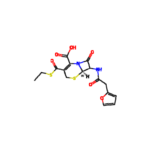 CCSC(=O)C1=C(C(=O)O)N2C(=O)C(NC(=O)Cc3ccco3)[C@H]2SC1